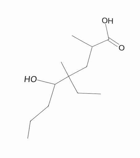 CCCC(O)C(C)(CC)CC(C)C(=O)O